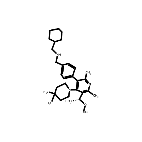 Cc1nc(C)c([C@H](OC(C)(C)C)C(=O)O)c(N2CCC(C)(C)CC2)c1-c1ccc(CNCC2CCCCC2)cc1